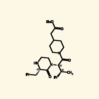 CC(C)COC(=O)CC1CCN(C(=O)[C@H]([C@@H](C)C(C)C)N2CCN[C@@H](CC(C)C)C2=O)CC1